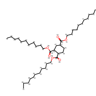 CCCCCCCCCCCOC(=O)C1CCC(C(=O)OCCCCCCCCCCC)C(C(=O)OCCCCCCCCCCC)C1